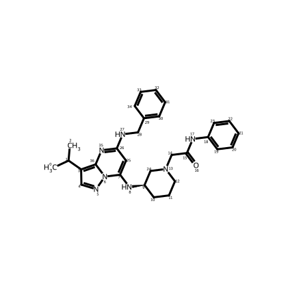 CC(C)c1cnn2c(N[C@@H]3CCCN(CC(=O)Nc4cc[c]cc4)C3)cc(NCc3ccccc3)nc12